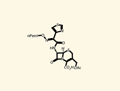 CCCCCON=C(C(=O)N[C@@H]1C(=O)N2C(C(=O)O)=C(COC(C)=O)CS[C@H]12)c1cscn1